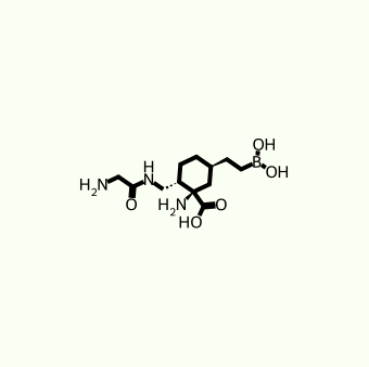 NCC(=O)NC[C@@H]1CC[C@@H](CCB(O)O)C[C@]1(N)C(=O)O